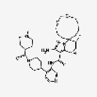 CN1CCC(C(=O)N2CCC(c3ccncc3NC(=O)c3c(N)nn4c3NCC(F)C43CCCCCCCCCC3)CC2)CC1